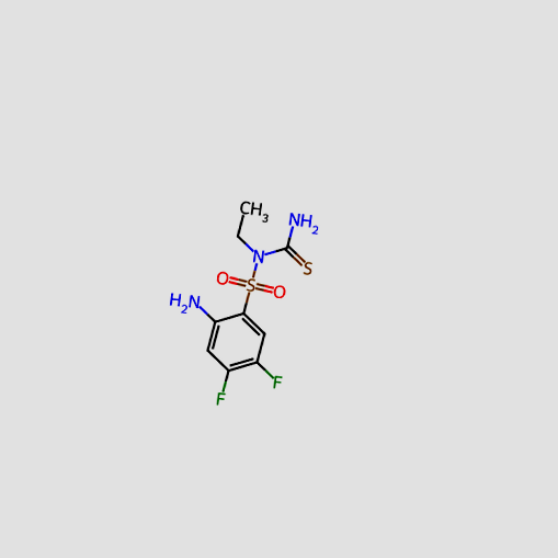 CCN(C(N)=S)S(=O)(=O)c1cc(F)c(F)cc1N